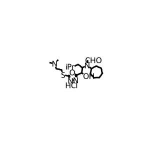 CC(C)CC(C(O)c1nnc(SCCN(C)C)o1)N(C=O)C1CCCCCC1.Cl